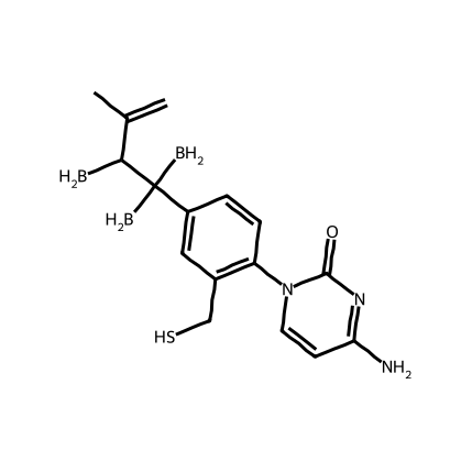 BC(C(=C)C)C(B)(B)c1ccc(-n2ccc(N)nc2=O)c(CS)c1